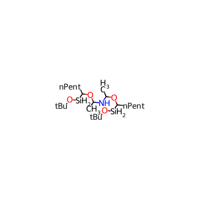 CCCCCC(OC(C)NC(C)OC(CCCCC)[SiH2]OC(C)(C)C)[SiH2]OC(C)(C)C